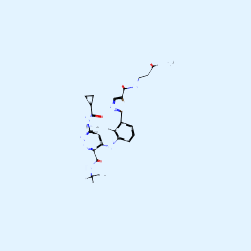 BC(B)(B)NC(=O)c1nnc(NC(=O)C2CC2)cc1Nc1cccc(-c2ncc(C(=O)NCCC(=O)OC)s2)c1OC